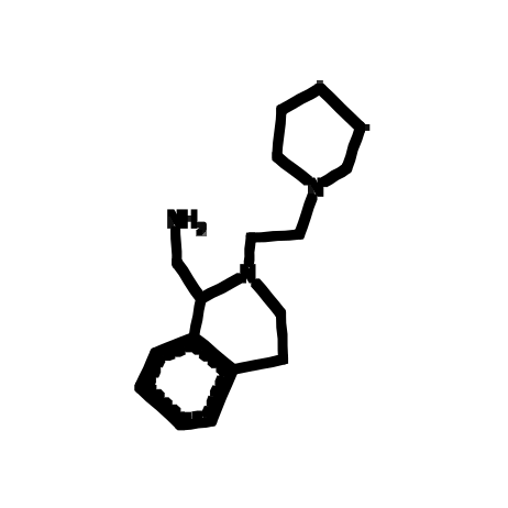 NCC1c2ccccc2CCN1CCN1C[CH][CH]CC1